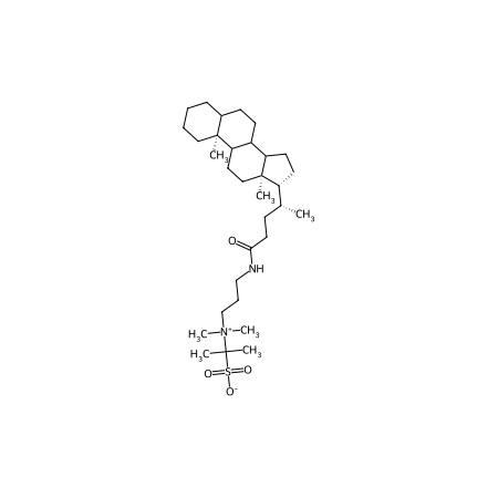 C[C@H](CCC(=O)NCCC[N+](C)(C)C(C)(C)S(=O)(=O)[O-])[C@H]1CCC2C3CCC4CCCC[C@]4(C)C3CC[C@@]21C